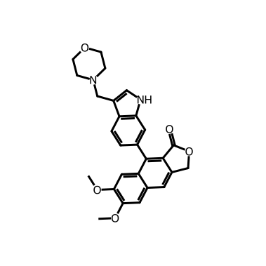 COc1cc2cc3c(c(-c4ccc5c(CN6CCOCC6)c[nH]c5c4)c2cc1OC)C(=O)OC3